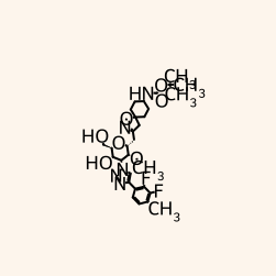 CO[C@@H]1[C@@H](n2cc(-c3ccc(C)c(F)c3F)nn2)[C@@H](O)[C@@H](CO)O[C@@H]1CC1=NOC2(CCC(NC(=O)OC(C)(C)C)CC2)C1